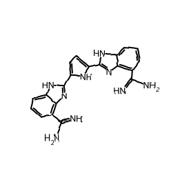 N=C(N)c1cccc2[nH]c(-c3ccc(-c4nc5c(C(=N)N)cccc5[nH]4)[nH]3)nc12